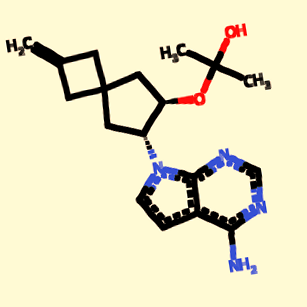 C=C1CC2(C1)C[C@@H](n1ccc3c(N)ncnc31)[C@H](OC(C)(C)O)C2